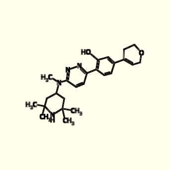 CN(c1ccc(-c2ccc(C3=CCOCC3)cc2O)nn1)C1CC(C)(C)NC(C)(C)C1